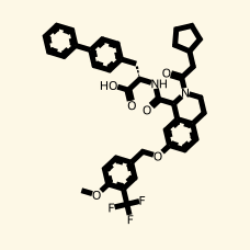 COc1ccc(COc2ccc3c(c2)C(C(=O)N[C@@H](Cc2ccc(-c4ccccc4)cc2)C(=O)O)N(C(=O)CC2CCCC2)CC3)cc1C(F)(F)F